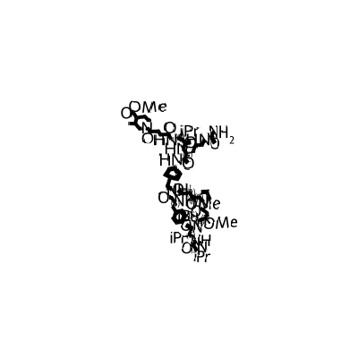 CC[C@H](C)[C@@H]([C@@H](CC(=O)N1CCC[C@H]1[C@H](OC)[C@@H](C)C(=O)N[C@@H](Cc1ccccc1)C(=O)NCc1ccc(NC(=O)[C@H](CCCNC(N)=O)NC(=O)[C@@H](NC(=O)CCC(=O)N2CCC(C(=O)OC)C(C)C2)C(C)C)cc1)OC)N(C)C(=O)[C@@H](NC(=O)[C@H](C(C)C)N(C)C)C(C)C